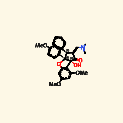 COc1ccc([C@@]23Oc4cc(OC)cc(OC)c4[C@]2(O)C(=O)C(=CN(C)C)[C@H]3c2ccccc2)cc1